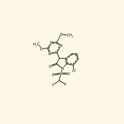 COc1nc(OC)nc(C2C(=O)N(S(=O)(=O)C(F)F)c3c(Cl)cccc32)n1